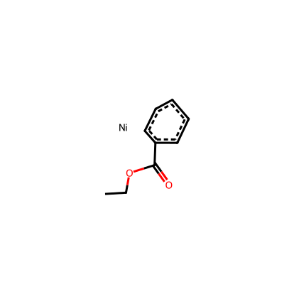 CCOC(=O)c1ccccc1.[Ni]